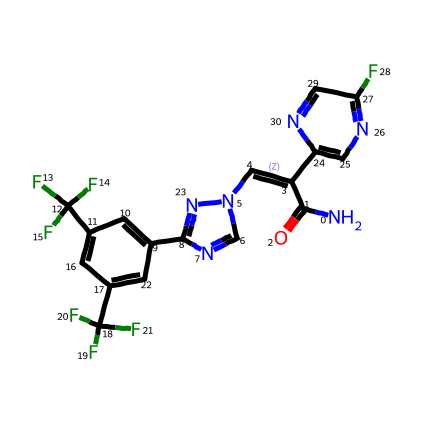 NC(=O)/C(=C\n1cnc(-c2cc(C(F)(F)F)cc(C(F)(F)F)c2)n1)c1cnc(F)cn1